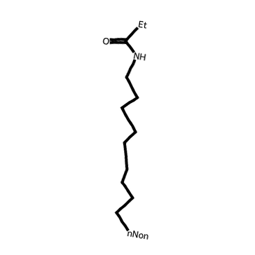 CCCCCCCCCCCCCCCCCCNC(=O)CC